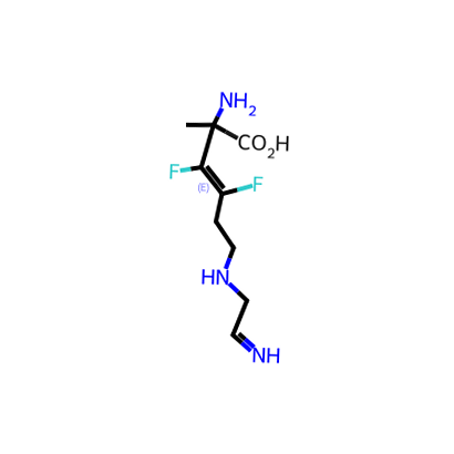 CC(N)(C(=O)O)/C(F)=C(\F)CCNCC=N